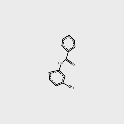 Cc1cccc(NC(=O)c2ccccn2)c1